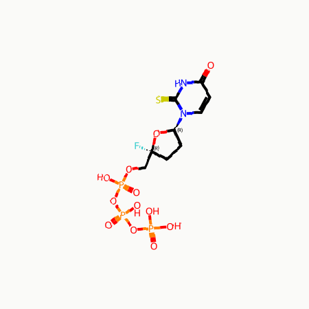 O=c1ccn([C@H]2CC[C@@](F)(COP(=O)(O)OP(=O)(O)OP(=O)(O)O)O2)c(=S)[nH]1